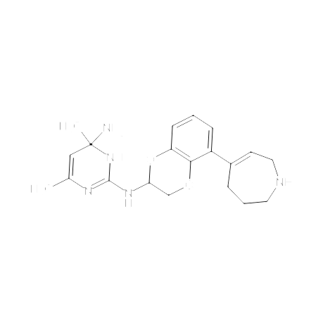 CC1=CC(C)(N)NC(NC2COc3c(cccc3C3=CCNCCC3)O2)=N1